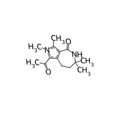 CC(=O)c1c2c(c(C)n1C)C(=O)NC(C)(C)CC2